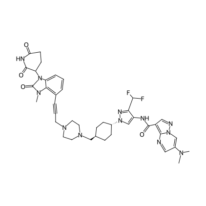 CN(C)c1cnc2c(C(=O)Nc3cn([C@H]4CC[C@H](CN5CCN(CC#Cc6cccc7c6n(C)c(=O)n7C6CCC(=O)NC6=O)CC5)CC4)nc3C(F)F)cnn2c1